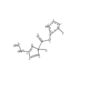 Cc1cc[nH]c1OC(=O)C1(C)N=CC(NC=O)=N1